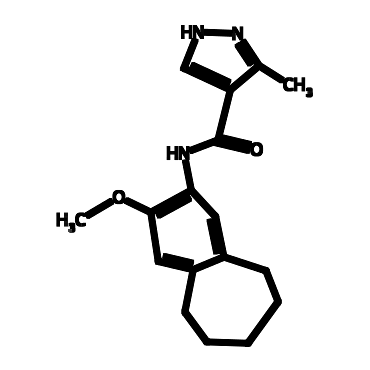 COc1cc2c(cc1NC(=O)c1c[nH]nc1C)CCCCC2